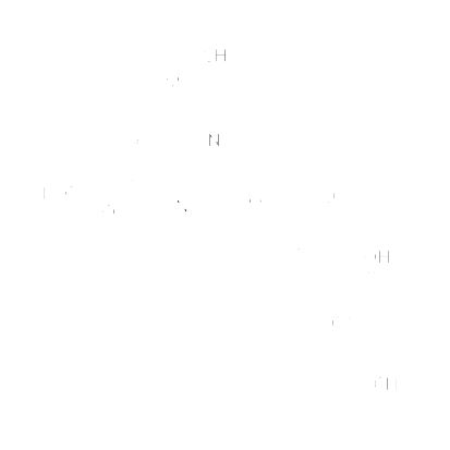 CCOc1cccc(Oc2nc(OC)cc(OC)n2)c1C(=O)O